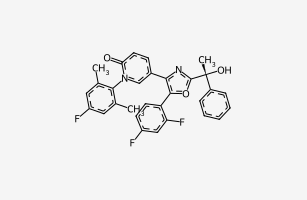 Cc1cc(F)cc(C)c1-n1cc(-c2nc([C@](C)(O)c3ccccc3)oc2-c2ccc(F)cc2F)ccc1=O